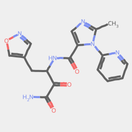 Cc1ncc(C(=O)NC(Cc2cnoc2)C(=O)C(N)=O)n1-c1ccccn1